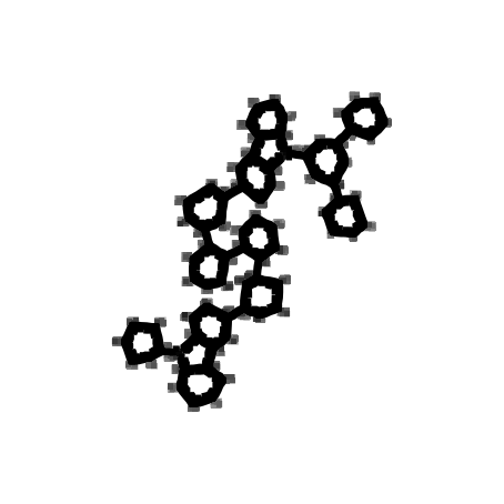 c1ccc(-c2cc(-c3ccccc3)cc(-n3c4ccccc4c4cc(-c5cccc(-c6ccccc6-c6ccccc6-c6cccc(-c7ccc8c(c7)c7ccccc7n8-c7ccccc7)c6)c5)ccc43)c2)cc1